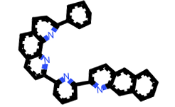 c1ccc(-c2ccc3ccc4ccc(-c5cccc(-c6ccc7cc8ccccc8cc7n6)n5)nc4c3n2)cc1